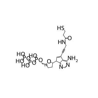 Nc1ncnc2c1C(C#CCNC(=O)CCS)=CC2C1CC[C@@H](COP(O)OP(O)OP(O)O)O1